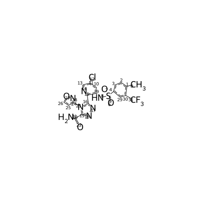 Cc1ccc(S(=O)(=O)Nc2cc(Cl)cnc2-c2nnc(C(N)=O)n2-c2ccon2)cc1C(F)(F)F